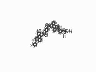 Cc1cccc(CN(C)Cc2c3ccccc3c(CN(C)C(=O)c3ccc(C(=O)N(C)Cc4c5ccccc5c(CN(C)Cc5cccc(OBO)c5)c5ccccc45)cc3C(C)(C)C)c3ccccc23)c1